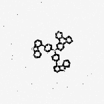 c1ccc2c(c1)oc1cccc(-c3ccc(N(c4ccc(-c5cccc6sc7ccccc7c56)cc4)c4ccc5c6ccccc6c6ccccc6c5c4)cc3)c12